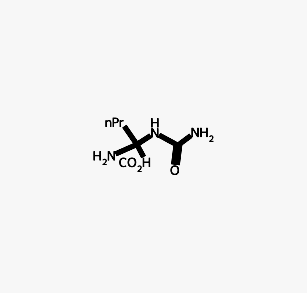 CCCC(N)(NC(N)=O)C(=O)O